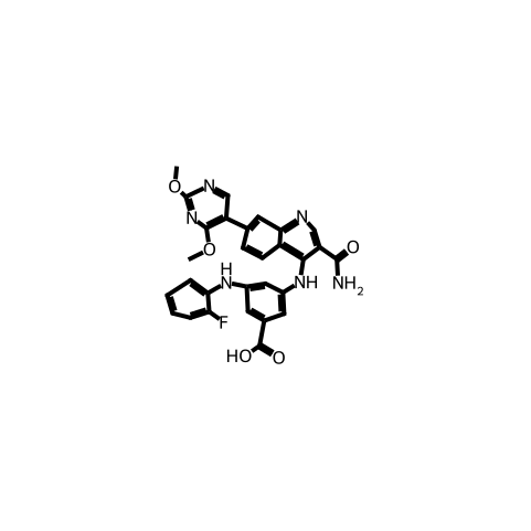 COc1ncc(-c2ccc3c(Nc4cc(Nc5ccccc5F)cc(C(=O)O)c4)c(C(N)=O)cnc3c2)c(OC)n1